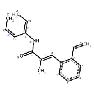 C=Cc1ccccc1/C=C(\C)C(=O)NC(/C=C\C)=C/C